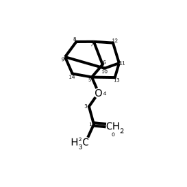 C=C(C)COC12CC3CC(CC(C3)C1)C2